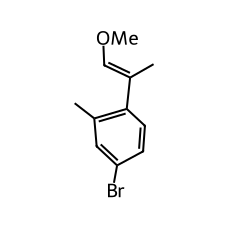 COC=C(C)c1ccc(Br)cc1C